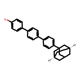 Brc1ccc(-c2ccc(-c3ccc(C45CC6C[C@H](C4)C[C@@H](C6)C5)cc3)cc2)cc1